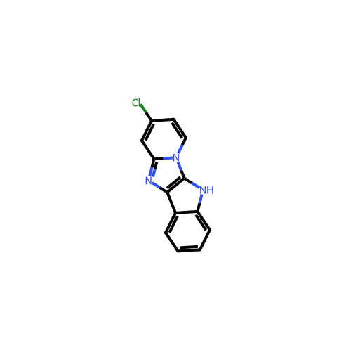 Clc1ccn2c(c1)nc1c3ccccc3[nH]c12